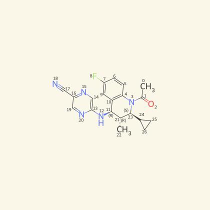 CC(=O)N1c2ccc(F)cc2[C@H](Nc2cnc(C#N)cn2)[C@@H](C)[C@@H]1C1CC1